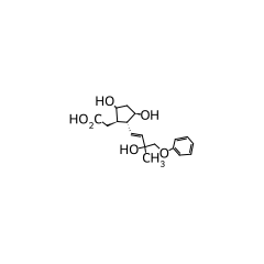 CC(O)(C=C[C@@H]1[C@@H](CC(=O)O)[C@@H](O)C[C@H]1O)COc1ccccc1